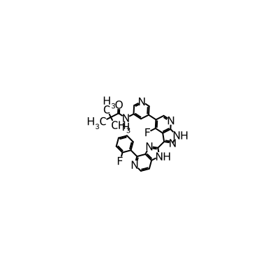 CC(C)(C)C(=O)Nc1cncc(-c2cnc3[nH]nc(-c4nc5c(-c6ccccc6F)nccc5[nH]4)c3c2F)c1